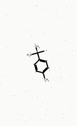 Cc1ccc([C@](C)(N)I)cc1